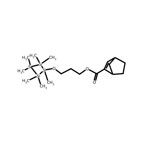 C[Si]1(C)[Si](C)(C)[Si](C)(OCCCOC(=O)C2=CC3CCC2C3)[Si]1(C)C